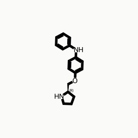 c1ccc(Nc2ccc(OC[C@H]3CCCN3)cc2)cc1